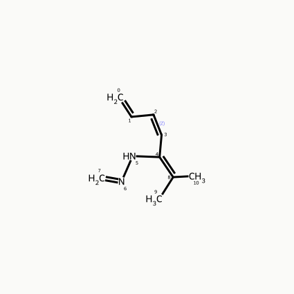 C=C/C=C\C(NN=C)=C(C)C